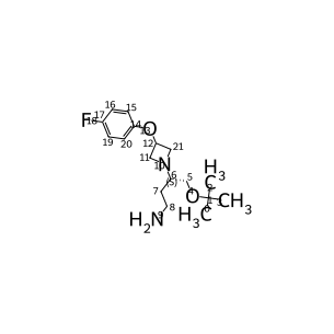 CC(C)(C)OC[C@H](CCN)N1CC(Oc2ccc(F)cc2)C1